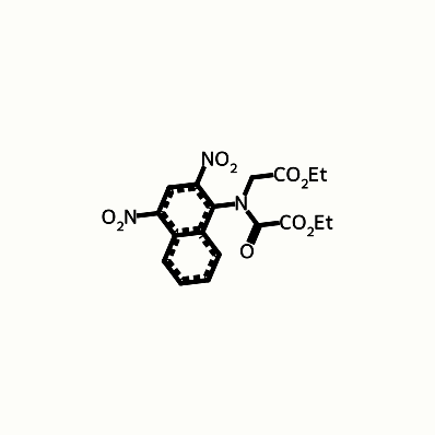 CCOC(=O)CN(C(=O)C(=O)OCC)c1c([N+](=O)[O-])cc([N+](=O)[O-])c2ccccc12